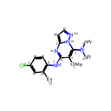 CCCN(CCC)c1c(OC)c(Nc2ccc(Cl)cc2CC)nc2ccnn12